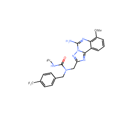 COc1cccc2c1nc(N)n1nc(CN(Cc3ccc(C(F)(F)F)cc3)C(=O)NC(C)C)nc21